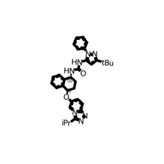 CC(C)c1nnc2ccc(O[C@@H]3CC[C@H](NC(=O)Nc4cc(C(C)(C)C)nn4-c4ccccc4)c4ccccc43)cn12